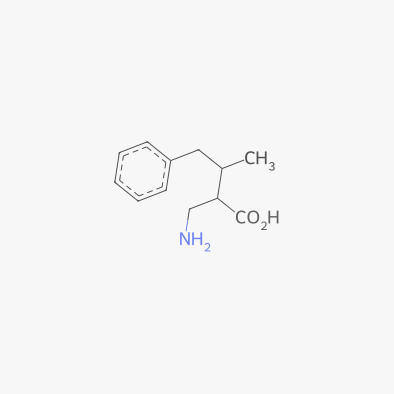 CC(Cc1ccccc1)C(CN)C(=O)O